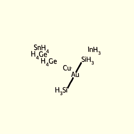 [Cu].[GeH4].[GeH4].[InH3].[SiH3][Au][SiH3].[SnH4]